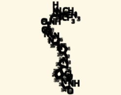 CC(C)(c1n[nH]c(CNC(=O)c2cc(-c3ncc(N4CCC(CN5CCC(c6cccc(N7CCC(=O)NC7=O)c6Cl)CC5)CC4)cn3)no2)n1)C(F)(F)F